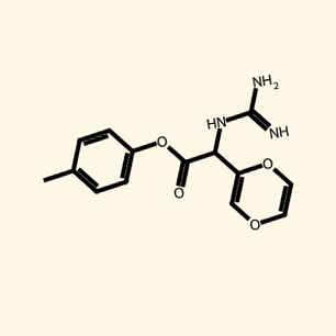 Cc1ccc(OC(=O)C(NC(=N)N)C2=COC=CO2)cc1